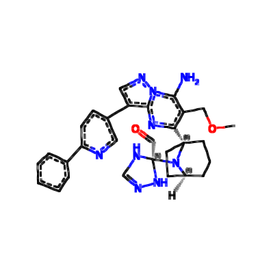 COCc1c([C@@]23CCC[C@@H](CC2)N3[C@]2(C=O)NC=NN2)nc2c(-c3ccc(-c4ccccc4)nc3)cnn2c1N